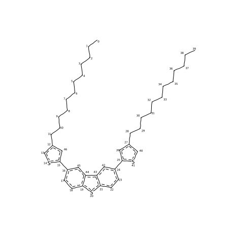 CCCCCCCCCCCCc1csc(-c2ccc3sc4ccc(-c5cc(CCCCCCCCCCCC)cs5)cc4c3c2)c1